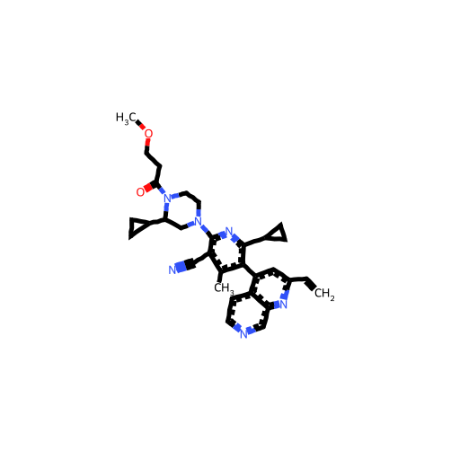 C=Cc1cc(-c2c(C3CC3)nc(N3CCN(C(=O)CCOC)C(C4CC4)C3)c(C#N)c2C)c2ccncc2n1